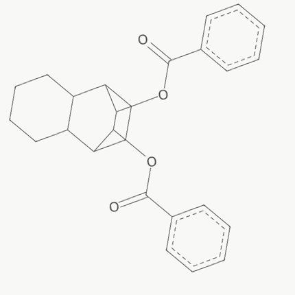 O=C(OC1C2CCC(C3CCCCC32)C1OC(=O)c1ccccc1)c1ccccc1